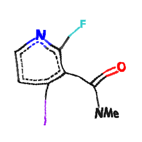 CNC(=O)c1c(I)ccnc1F